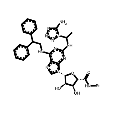 CCNC(=O)[C@H]1O[C@@H](n2cnc3c(NCC(c4ccccc4)c4ccccc4)nc(NC(C)n4nnnc4N)nc32)[C@H](O)[C@@H]1O